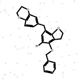 Brc1cc(Cc2ccc3c(c2)OCCO3)c2c(c1OCc1ccccc1)CCO2